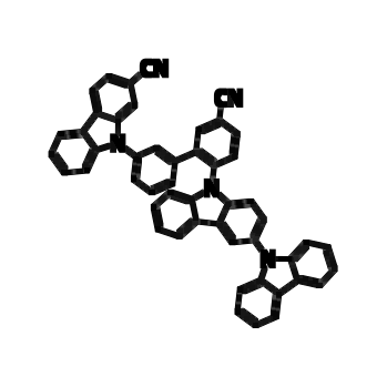 N#Cc1ccc(-n2c3ccccc3c3cc(-n4c5ccccc5c5ccccc54)ccc32)c(-c2cccc(-n3c4ccccc4c4ccc(C#N)cc43)c2)c1